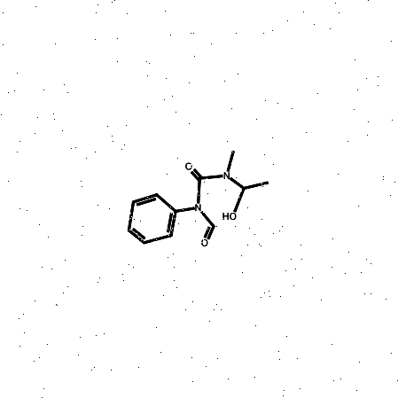 CC(O)N(C)C(=O)N([C]=O)c1ccccc1